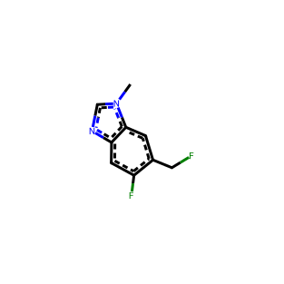 Cn1cnc2cc(F)c(CF)cc21